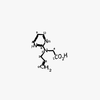 C=CCN(CC(=O)O)c1ncccn1